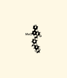 COc1cc(-c2ccncc2)c2ncc(=O)n(CCN3CCC(N(C)c4cc5c(cn4)OCCO5)CC3)c2c1